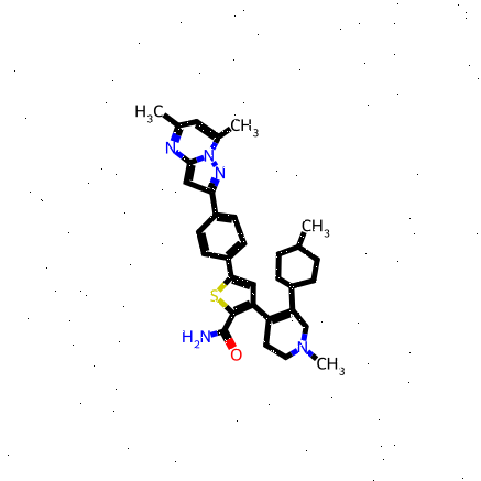 Cc1cc(C)n2nc(-c3ccc(-c4cc(C5=C(C6CCC(C)CC6)CN(C)CC5)c(C(N)=O)s4)cc3)cc2n1